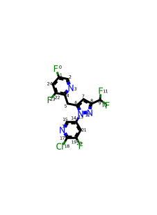 Fc1cnc(Cc2cc(C(F)F)nn2-c2cnc(Cl)c(F)c2)c(F)c1